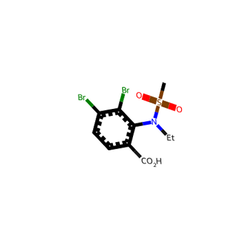 CCN(c1c(C(=O)O)ccc(Br)c1Br)S(C)(=O)=O